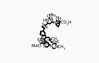 CCn1c(-c2cc(N3CCN(C)CC3)cnc2[C@H](C)OC)c(CC(C)(C)CO)c2cc(-c3csc(C(CC(=O)N4N[C@H](C(=O)O)C5CC4C5)NC(=O)OC(C)(C)C)n3)ccc21